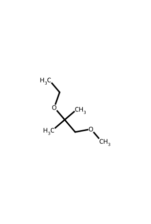 CCOC(C)(C)COC